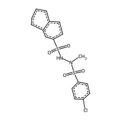 CN(NS(=O)(=O)c1ccc2ccccc2c1)S(=O)(=O)c1ccc(Cl)cc1